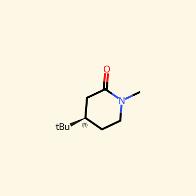 CN1CC[C@@H](C(C)(C)C)CC1=O